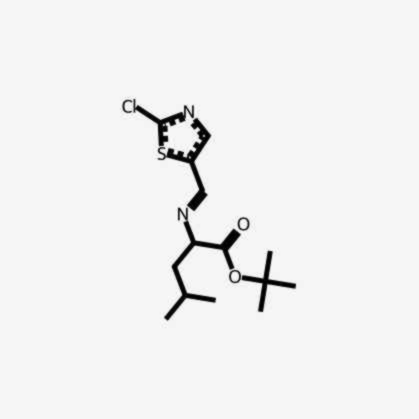 CC(C)CC(N=Cc1cnc(Cl)s1)C(=O)OC(C)(C)C